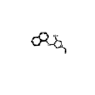 CCN1CC(O)C(Oc2cccc3ccccc23)C1